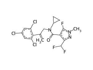 C=C(CN(C(=O)c1c(C(F)F)nn(C)c1F)C1CC1)c1c(Cl)cc(Cl)cc1Cl